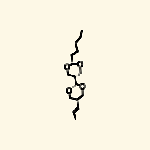 C/C=C/[C@H]1CO[C@H]([C@H]2CO[C@H](CCCCC)OC2)OC1